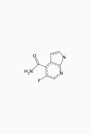 NC(=O)c1c(F)cnc2c1C=C[N]2